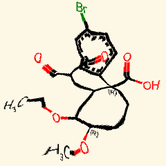 CCOC1C(C(C=O)C=O)[C@@](C(=O)O)(c2ccc(Br)cc2)CC[C@H]1OC